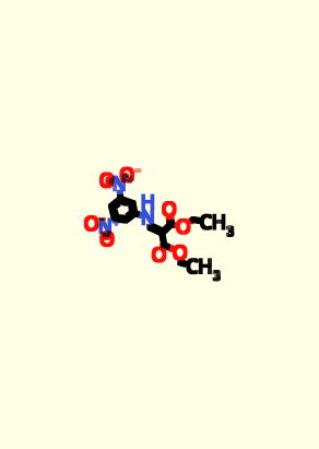 CCOC(=O)C(=CNc1cc([N+](=O)[O-])cc([N+](=O)[O-])c1)C(=O)OCC